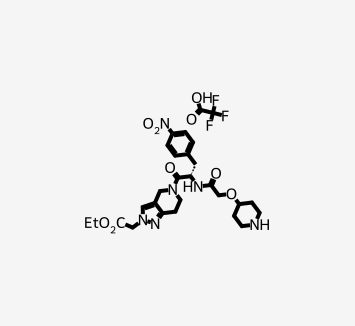 CCOC(=O)Cn1cc2c(n1)CCN(C(=O)[C@H](Cc1ccc([N+](=O)[O-])cc1)NC(=O)COC1CCNCC1)C2.O=C(O)C(F)(F)F